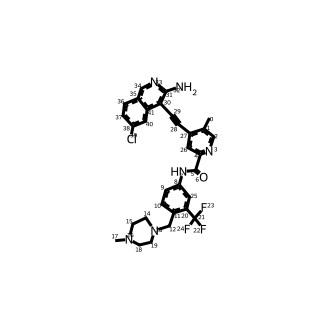 Cc1cnc(C(=O)Nc2ccc(CN3CCN(C)CC3)c(C(F)(F)F)c2)cc1C#Cc1c(N)ncc2ccc(Cl)cc12